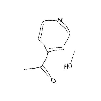 CC(=O)c1ccncc1.CO